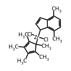 CC1=C(C)[C](C)([Zr]([Cl])([Cl])[CH]2C=Cc3c(C)ccc(C)c32)C(C)=C1C